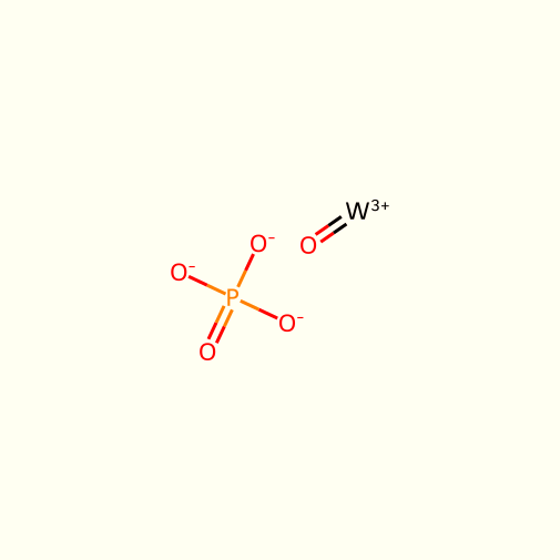 O=P([O-])([O-])[O-].[O]=[W+3]